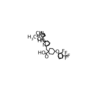 CC(C)(C)n1nccc1Nc1cccc(CC2(C(=O)O)CCC(Oc3cccc(C(F)(F)F)c3F)CC2)n1